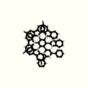 Cc1ccc2c(c1)c1ccccc1n2-c1c(-c2cc(-c3ccccc3)nc(-c3ccccc3)n2)c(-c2nc3ccccc3s2)c(-n2c3ccccc3c3cc(C)ccc32)c(-n2c3ccccc3c3cc(C)ccc32)c1-n1c2ccccc2c2cc(C)ccc21